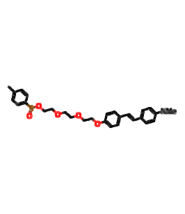 CNc1ccc(/C=C/c2ccc(OCCOCCOCCOS(=O)c3ccc(C)cc3)cc2)cc1